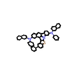 c1ccc(-c2ccc3sc4c(c3c2)c2c3cc(N(c5ccccc5)c5ccc6ccccc6c5)ccc3cc3c5ccc(N(c6ccccc6)c6ccc7ccccc7c6)cc5n4c32)cc1